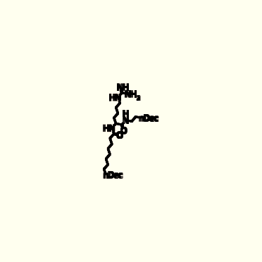 CCCCCCCCCCCCCCCCCC(=O)NC(CCCCNC(=N)N)C(=O)NCCCCCCCCCCCC